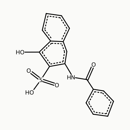 O=C(Nc1cc2ccccc2c(O)c1S(=O)(=O)O)c1ccccc1